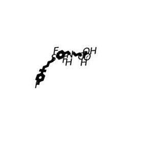 CC(C)(CCCCSc1cc(F)c(CNCCCO[PH](=O)O)cc1F)c1ccc(F)cc1